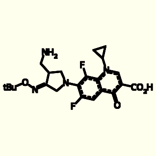 CC(C)(C)ON=C1CN(c2c(F)cc3c(=O)c(C(=O)O)cn(C4CC4)c3c2F)CC1CN